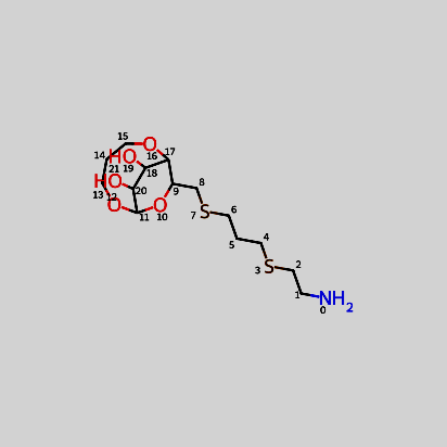 NCCSCCCSCC1OC2OCCCOC1C(O)C2O